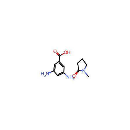 CN1CCCC1=O.Nc1cc(N)cc(C(=O)O)c1